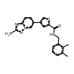 Cc1cccc(CNC(=O)c2cc(-c3ccc4nc(N)nn4c3)cs2)c1C